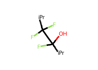 CC(C)C(O)(F)C(F)(F)C(C)C